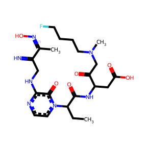 CCC(C(=O)NC(CC(=O)O)C(=O)CN(C)CCCCF)n1ccnc(NCC(=N)/C(C)=N\O)c1=O